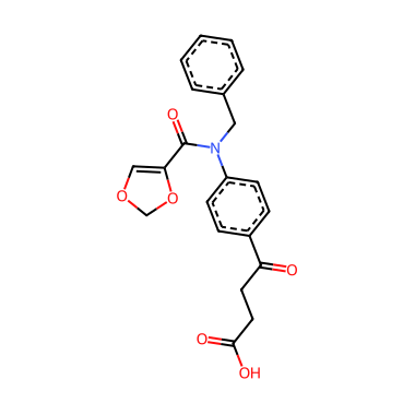 O=C(O)CCC(=O)c1ccc(N(Cc2ccccc2)C(=O)C2=COCO2)cc1